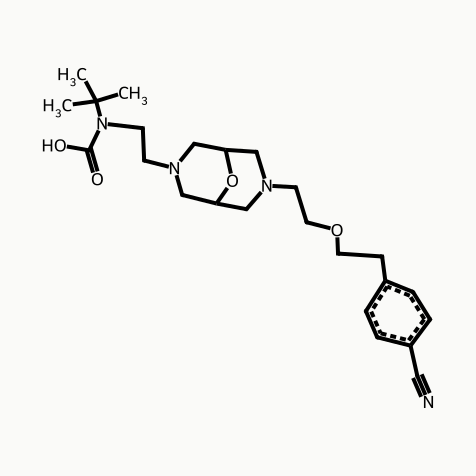 CC(C)(C)N(CCN1CC2CN(CCOCCc3ccc(C#N)cc3)CC(C1)O2)C(=O)O